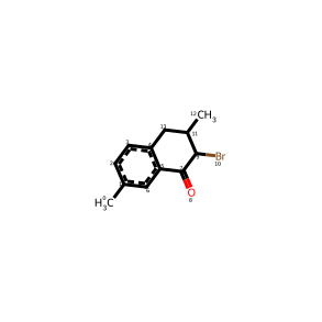 Cc1ccc2c(c1)C(=O)C(Br)C(C)C2